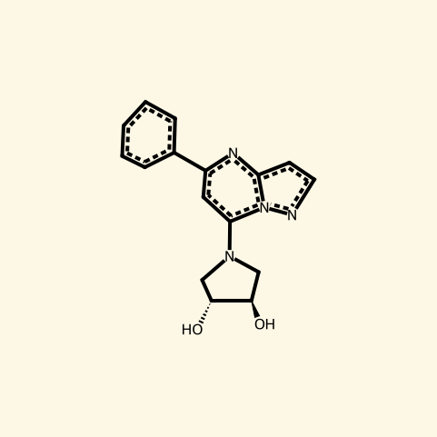 O[C@@H]1CN(c2cc(-c3ccccc3)nc3ccnn23)C[C@H]1O